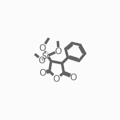 CO[Si](OC)(OC)C1C(=O)OC(=O)C1c1ccccc1